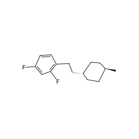 C[C@H]1CC[C@H](CCc2ccc(F)cc2F)CC1